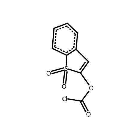 O=C(Cl)OC1=Cc2ccccc2S1(=O)=O